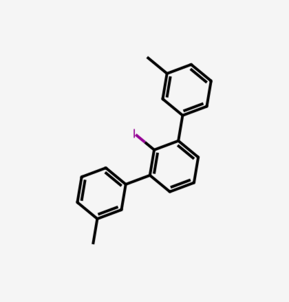 Cc1cccc(-c2cccc(-c3cccc(C)c3)c2I)c1